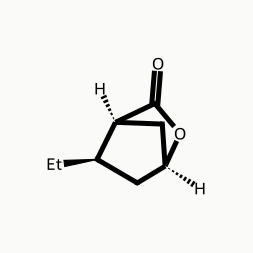 CC[C@@H]1C[C@H]2C[C@@H]1C(=O)O2